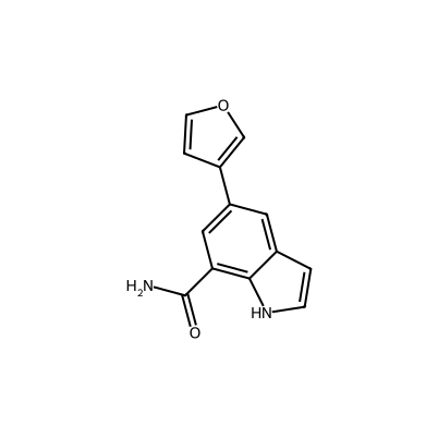 NC(=O)c1cc(-c2ccoc2)cc2cc[nH]c12